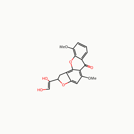 COc1cccc2c(=O)c3c(OC)cc4c(c3oc12)CC(/C(O)=C/O)O4